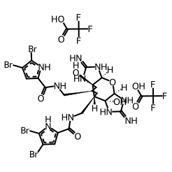 N=C1N[C@@H]2O[C@@H]3NC(=N)N[C@]34[C@H]([C@H](CNC(=O)c3cc(Br)c(Br)[nH]3)[C@@H](CNC(=O)c3cc(Br)c(Br)[nH]3)[C@@H]4O)[C@]2(O)N1.O=C(O)C(F)(F)F.O=C(O)C(F)(F)F